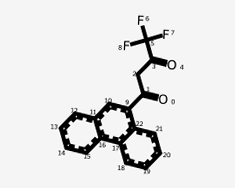 O=C(CC(=O)C(F)(F)F)c1cc2ccccc2c2ccccc12